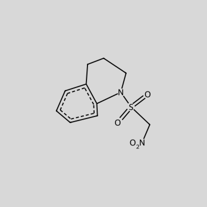 O=[N+]([O-])CS(=O)(=O)N1CCCc2ccccc21